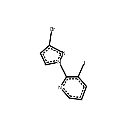 Brc1c[c]n(-c2ncccc2I)n1